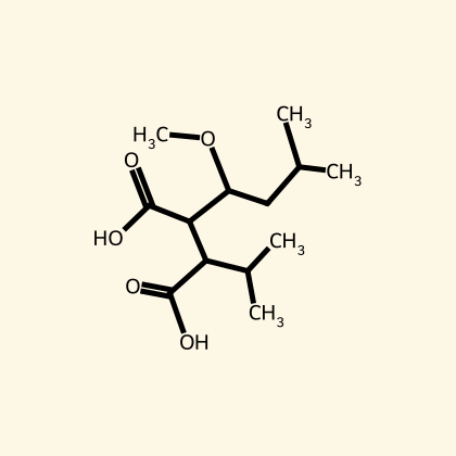 COC(CC(C)C)C(C(=O)O)C(C(=O)O)C(C)C